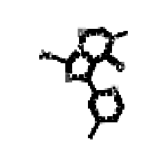 CC(=O)c1nc(-c2cc(C)ccn2)c2c(=O)n(C)cnn12